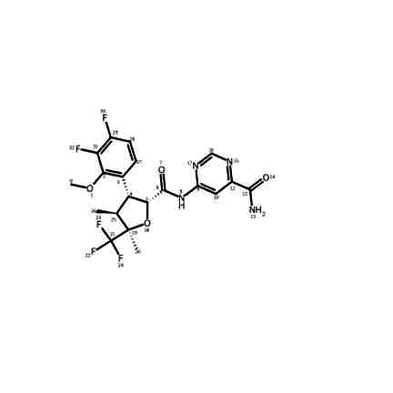 COc1c([C@@H]2[C@H](C(=O)Nc3cc(C(N)=O)ncn3)O[C@@](C)(C(F)(F)F)[C@H]2C)ccc(F)c1F